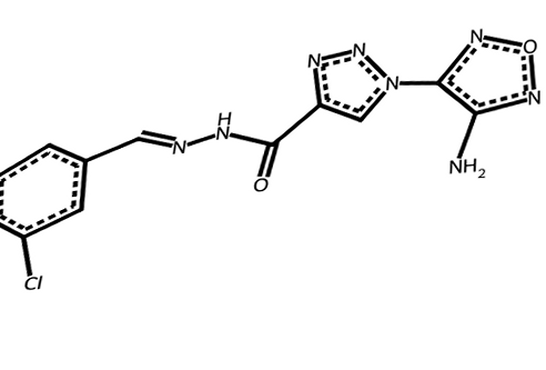 Nc1nonc1-n1cc(C(=O)N/N=C/c2cccc(Cl)c2)nn1